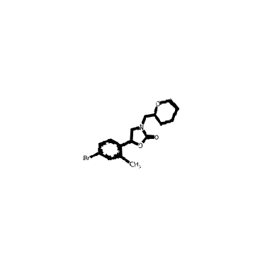 Cc1cc(Br)ccc1C1CN(CC2CCCCO2)C(=O)O1